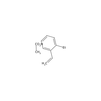 C=Cc1ccccc1CC.CC(=O)O